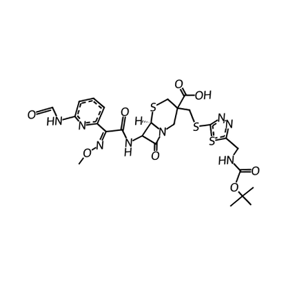 CON=C(C(=O)NC1C(=O)N2CC(CSc3nnc(CNC(=O)OC(C)(C)C)s3)(C(=O)O)CS[C@H]12)c1cccc(NC=O)n1